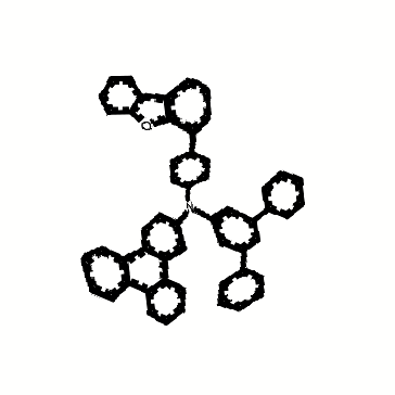 c1ccc(-c2cc(-c3ccccc3)cc(N(c3ccc(-c4cccc5c4oc4ccccc45)cc3)c3ccc4c5ccccc5c5ccccc5c4c3)c2)cc1